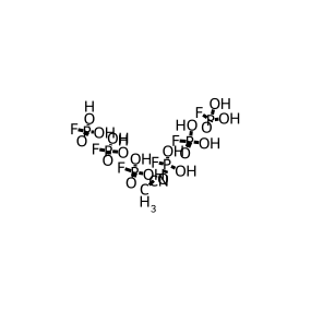 CC#N.O=P(O)(O)F.O=P(O)(O)F.O=P(O)(O)F.O=P(O)(O)F.O=P(O)(O)F.O=P(O)(O)F